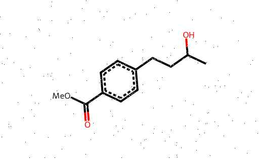 COC(=O)c1ccc(CCC(C)O)cc1